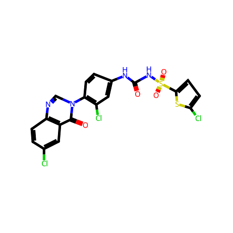 O=C(Nc1ccc(-n2cnc3ccc(Cl)cc3c2=O)c(Cl)c1)NS(=O)(=O)c1ccc(Cl)s1